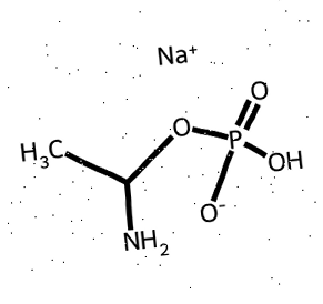 CC(N)OP(=O)([O-])O.[Na+]